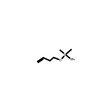 C=C[CH]CO[Si](C)(C)C(C)(C)C